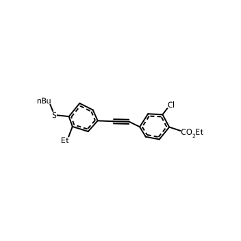 CCCCSc1ccc(C#Cc2ccc(C(=O)OCC)c(Cl)c2)cc1CC